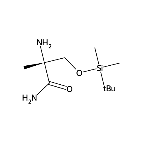 CC(C)(C)[Si](C)(C)OC[C@@](C)(N)C(N)=O